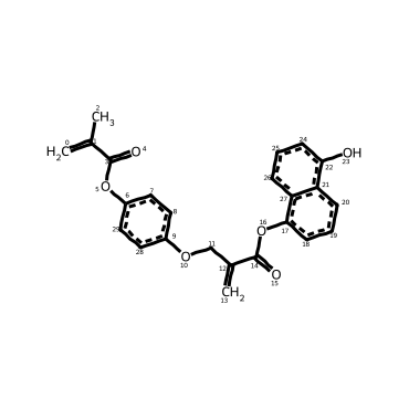 C=C(C)C(=O)Oc1ccc(OCC(=C)C(=O)Oc2cccc3c(O)cccc23)cc1